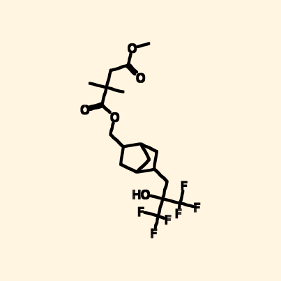 COC(=O)CC(C)(C)C(=O)OCC1CC2CC1CC2CC(O)(C(F)(F)F)C(F)(F)F